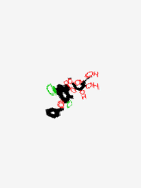 CO[C@H]1O[C@H](CO)[C@@H](O)[C@H](O)[C@H]1OC(=O)c1cc(Cl)c(OCc2ccccc2)c(Cl)c1C